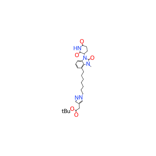 Cn1c(=O)n(C2CCC(=O)NC2=O)c2cccc(CCCCCCCn3cc(CC(=O)OC(C)(C)C)cn3)c21